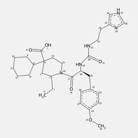 CCC1CC(C(=O)O)(C2CCCCC2)CCN1C(=O)[C@H](Cc1ccc(OC)cc1)NC(=O)NCCc1c[nH]cn1